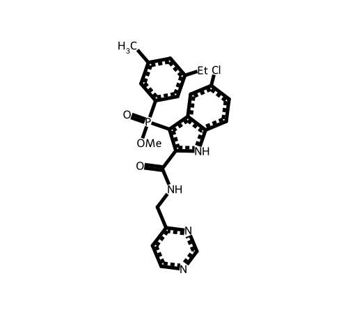 CCc1cc(C)cc(P(=O)(OC)c2c(C(=O)NCc3ccncn3)[nH]c3ccc(Cl)cc23)c1